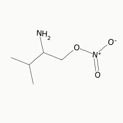 CC(C)C(N)CO[N+](=O)[O-]